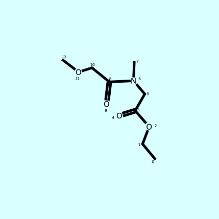 CCOC(=O)CN(C)C(=O)COC